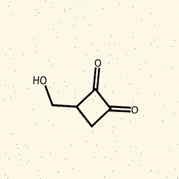 O=C1CC(CO)C1=O